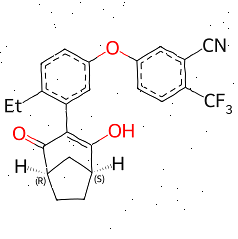 CCc1ccc(Oc2ccc(C(F)(F)F)c(C#N)c2)cc1C1=C(O)[C@H]2CC[C@H](C2)C1=O